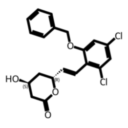 O=C1C[C@@H](O)C[C@H](C=Cc2c(Cl)cc(Cl)cc2OCc2ccccc2)O1